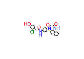 O=C(Cc1ccc(O)cc1Cl)Nc1ccc(N2C(=O)CC(=O)Nc3c2ccc2ccccc32)cc1